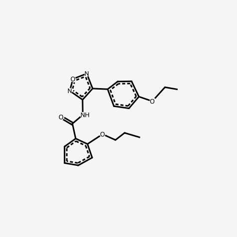 CCCOc1ccccc1C(=O)Nc1nonc1-c1ccc(OCC)cc1